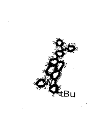 CC(C)(C)c1ccc2c(c1)c1cc3ccc4c(-c5ccc(N(c6ccccc6)c6ccccc6)cc5)ccc5ccc(c3c54)c1n2-c1ccccc1